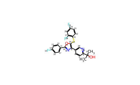 CC(C)(O)c1ccc(-c2nc(-c3ccc(F)cc3)oc2Sc2ccc(F)cc2F)cn1